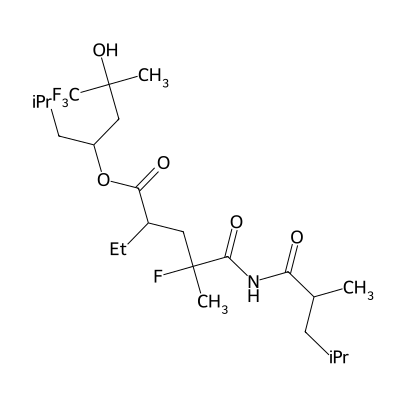 CCC(CC(C)(F)C(=O)NC(=O)C(C)CC(C)C)C(=O)OC(CC(C)C)CC(C)(O)C(F)(F)F